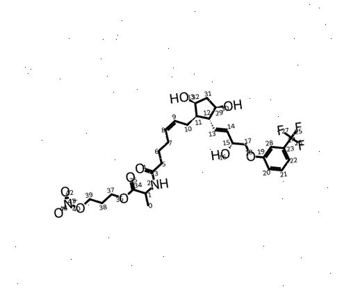 CC(NC(=O)CCC/C=C\C[C@@H]1[C@@H](/C=C/[C@@H](O)COc2cccc(C(F)(F)F)c2)[C@H](O)C[C@@H]1O)C(=O)OCCCO[N+](=O)[O-]